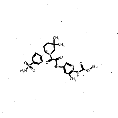 Cc1cc(NC(=O)C(=O)N2CC(C)(C)CC[C@H]2c2ccc(S(N)(=O)=O)cc2)cnc1NC(=O)OC(C)(C)C